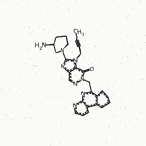 CC#CCn1c(N2CCCC(N)C2)nc2cnn(Cc3nc4ncccc4c4ccccc34)c(=O)c21